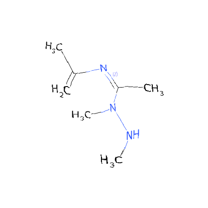 C=C(C)/N=C(/C)N(C)NC